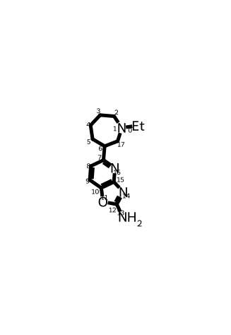 CCN1CCCCC(c2ccc3oc(N)nc3n2)C1